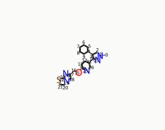 Cn1cc(-c2ccccc2)c(-c2ccc(OCc3cn4ccsc4n3)nc2)n1